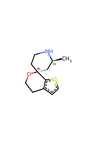 C[C@H]1C[C@@]2(CCN1)OCCc1ccsc12